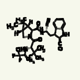 CC(C)(C)[C@H](NC(=O)C(F)(F)Cl)C(=O)N1C[C@H]2[C@@H]([C@H]1C(=O)N[C@H](C#N)CC1C(=C=O)Nc3ccccc31)C2(C)C